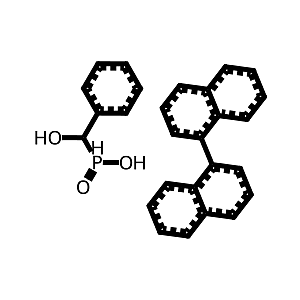 O=[PH](O)C(O)c1ccccc1.c1ccc2c(-c3cccc4ccccc34)cccc2c1